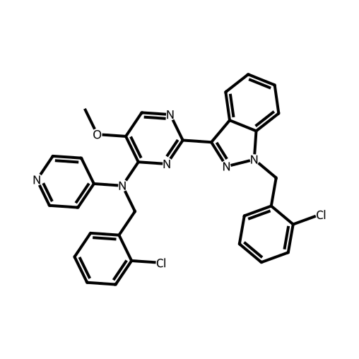 COc1cnc(-c2nn(Cc3ccccc3Cl)c3ccccc23)nc1N(Cc1ccccc1Cl)c1ccncc1